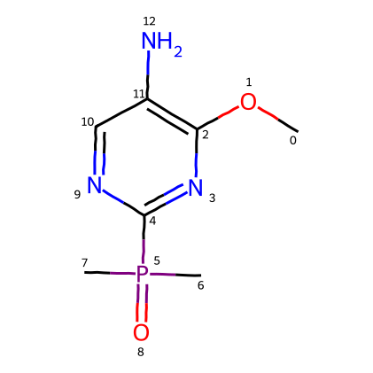 COc1nc(P(C)(C)=O)ncc1N